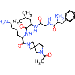 CC(=O)N1CCC2(C1)CN(C(=O)[C@@H](CCCCN)NC(=O)C(CC(C)C)NC(=O)CNC(=O)C(N)Cc1ccccc1)C2